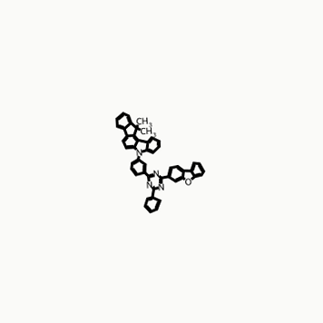 CC1(C)c2ccccc2-c2ccc3c(c21)c1ccccc1n3-c1cccc(-c2nc(-c3ccccc3)nc(-c3ccc4c(c3)oc3ccccc34)n2)c1